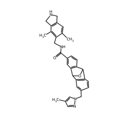 Cc1cnn(Cc2ccc3c(c2)C2OC3c3ccc(C(=O)NCc4c(C)cc5c(c4C)CNC5)cc32)c1